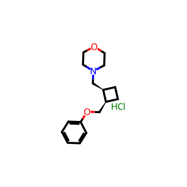 Cl.c1ccc(OC[C@@H]2CC[C@@H]2CN2CCOCC2)cc1